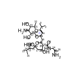 CC(C)/C=C/[C@@H](C[C@@H]1O[C@](O)(C[C@@H](O)C(C)C)C[C@H](O)[C@H]1C(=O)NC[C@@H](C)N)OC1OC(C)C(O)C(N)C1O